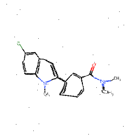 CN(C)C(=O)c1cccc(-c2cc3cc(Cl)ccc3n2C)c1